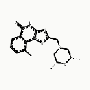 Cc1cccc2c(=O)[nH]c3sc(CN4C[C@@H](C)O[C@@H](C)C4)nc3c12